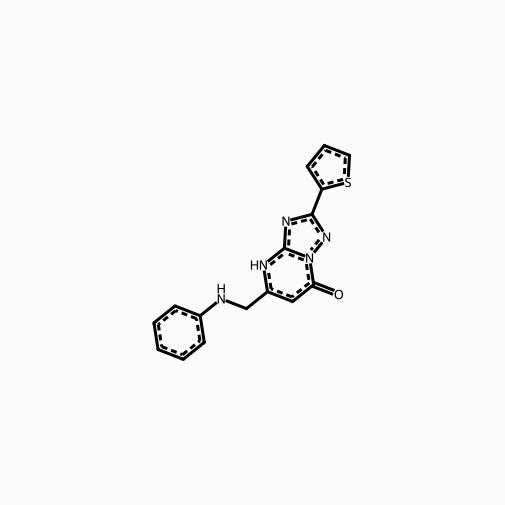 O=c1cc(CNc2ccccc2)[nH]c2nc(-c3cccs3)nn12